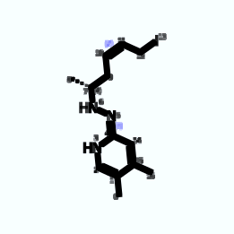 Cc1c[nH]/c(=N\N[C@H](C)C/C=C\CI)cc1C